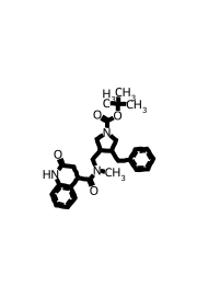 CN(CC1CN(C(=O)OC(C)(C)C)CC1Cc1ccccc1)C(=O)C1CC(=O)Nc2ccccc21